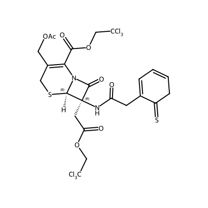 CC(=O)OCC1=C(C(=O)OCC(Cl)(Cl)Cl)N2C(=O)[C@@](CC(=O)OCC(Cl)(Cl)Cl)(NC(=O)CC3=CC=CCC3=S)[C@H]2SC1